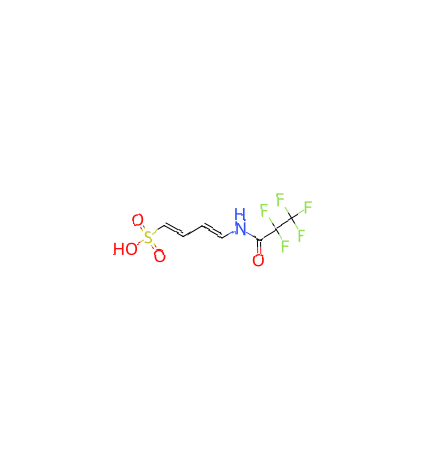 O=C(N/C=C/C=C/S(=O)(=O)O)C(F)(F)C(F)(F)F